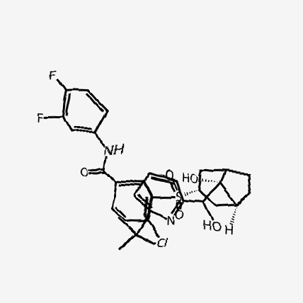 CC(C)(C)c1cccc(C(O)[C@@]2(O)C3CC[C@H]2C[C@H](S(=O)(=O)c2cc(C(=O)Nc4ccc(F)c(F)c4)ccc2Cl)C3)n1